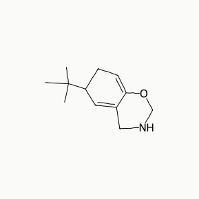 CC(C)(C)C1C=C2CNCOC2=CC1